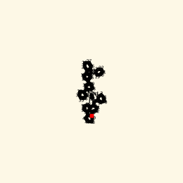 C1=CCC2N=C(N3c4ccc(-c5ccc6c7c(n(C8CC=CCC8)c6c5)C=CCC7)cc4C4C=CC=CC43)N=C(C3CC=C4C5=C(C=CCC5)c5cccc3c54)C2=C1